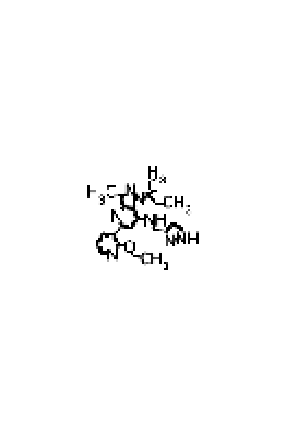 CCOc1ncccc1-c1cc(NCc2cc[nH]n2)c2c(n1)c(C)nn2[C@H](C)CC